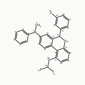 CN(c1ccccc1)c1ccc2c(c1)C(c1cccc(F)c1)Oc1cccc(OC(F)F)c1-2